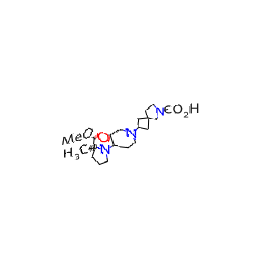 COC(=O)[C@@]1(C)CCCN1C1CCN(C2CC3(CCN(C(=O)O)C3)C2)CC1